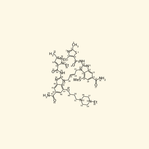 CCc1nc(C)sc1C(=O)Nc1nc2cc(C(N)=O)cc(SC)c2n1C/C=C/Cn1c(NC(=O)c2cc(C)nn2CC)nc2cc(C(N)=O)cc(OCCCN3CCN(CC)CC3)c21